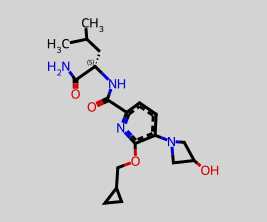 CC(C)C[C@H](NC(=O)c1ccc(N2CC(O)C2)c(OCC2CC2)n1)C(N)=O